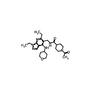 CCc1nc2c(cnn2CC)c(NC2CCOCC2)c1CNC(=O)C1CCN(C(C)=O)CC1